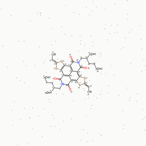 CCCCCCCCCCCCC(CCCCCCCCCC)Cn1c(=O)c2c3sc(=CC#N)sc3c3c(=O)n(CC(CCCCCCCCCC)CCCCCCCCCCCC)c(=O)c4c5sc(=CC#N)sc5c(c1=O)c2c34